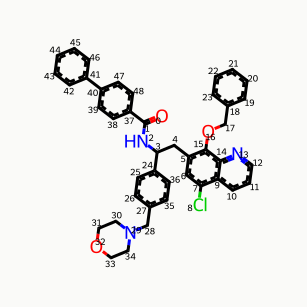 O=C(NC(Cc1cc(Cl)c2cccnc2c1OCc1ccccc1)c1ccc(CN2CCOCC2)cc1)c1ccc(-c2ccccc2)cc1